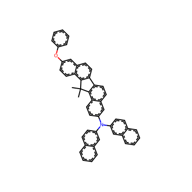 CC1(C)c2c(ccc3cc(Oc4ccccc4)ccc23)-c2ccc3cc(N(c4ccc5ccccc5c4)c4ccc5ccccc5c4)ccc3c21